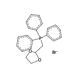 [Br-].c1ccc([P+](CC2OCCO2)(c2ccccc2)c2ccccc2)cc1